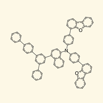 c1ccc(-c2ccc(-c3cc(-c4ccccc4)cc(-c4ccc(N(c5ccc(-c6cccc7c6oc6ccccc67)cc5)c5ccc(-c6cccc7c6oc6ccccc67)cc5)c5ccccc45)c3)cc2)cc1